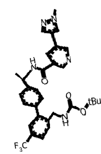 C[C@@H](NC(=O)c1cncc(-c2cnn(C)c2)c1)c1ccc(-c2cc(C(F)(F)F)ccc2CNC(=O)OC(C)(C)C)cc1